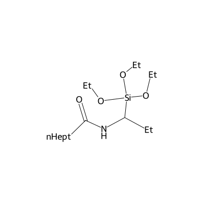 CCCCCCCC(=O)NC(CC)[Si](OCC)(OCC)OCC